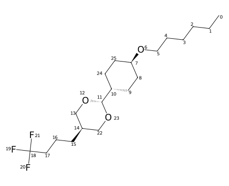 CCCCCCO[C@H]1CC[C@H]([C@H]2OC[C@H](CCCC(F)(F)F)CO2)CC1